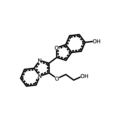 OCCOc1c(-c2cc3cc(O)ccc3o2)nc2ccccn12